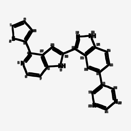 c1csc(-c2nccc3[nH]c(-c4n[nH]c5ccc(-c6cncnc6)cc45)cc23)c1